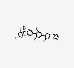 N[C@]1(c2ccc(-c3c(F)cc(N4C[C@H](Cn5ccnn5)OC4=O)cc3F)cn2)[C@@H]2C[S+]([O-])C[C@@H]21